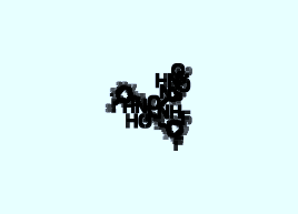 CS(=O)(=O)Nc1nc(C(=O)N[C@@H](Cc2cc(F)cc(F)c2)[C@@H](O)CNCc2cccc(I)c2)cs1